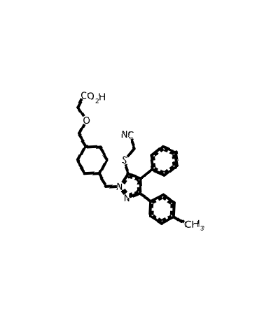 Cc1ccc(-c2nn(CC3CCC(COCC(=O)O)CC3)c(SCC#N)c2-c2ccccc2)cc1